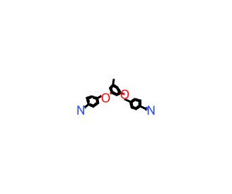 Cc1cc(OCc2ccc(C#N)cc2)cc(OCc2ccc(C#N)cc2)c1